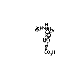 C=C(C)[C@@H]1CC[C@]2(NCCN3CCS(=O)(=O)CC3)CC[C@]3(C)[C@H](CC[C@@H]4[C@@]5(C)CC=C(C6=CC7(C6)CC(C(=O)O)C7)C(C)(C)[C@@H]5CC[C@]43C)[C@@H]12